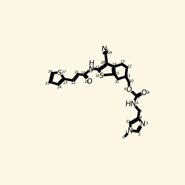 Cn1cnc(CNC(=O)OCC2CCc3c(sc(NC(=O)C=Cc4cccs4)c3C#N)C2)c1